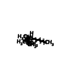 CCCCCCCCNC(CC)[Si](OC)(OC)OC